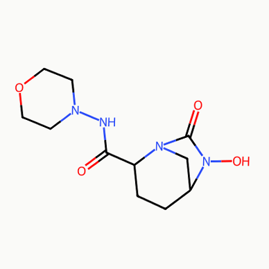 O=C(NN1CCOCC1)C1CCC2CN1C(=O)N2O